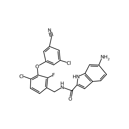 N#Cc1cc(Cl)cc(Oc2c(Cl)ccc(CNC(=O)c3cc4ccc(N)cc4[nH]3)c2F)c1